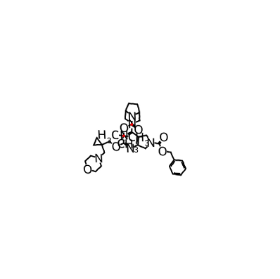 CC(C)(C)OC(=O)N1C2CCC1CN(c1nc(OCC3(CN4CCOCC4)CC3)nc3c1CN(C(=O)OCc1ccccc1)C3)C2